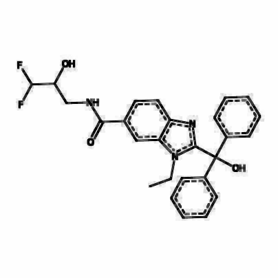 CCn1c(C(O)(c2ccccc2)c2ccccc2)nc2ccc(C(=O)NCC(O)C(F)F)cc21